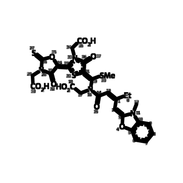 CC/C(C=C1Oc2ccccc2N1C)=C/C(=O)N(CC(=O)O)/C(SC)=c1\s/c(=C2/OC(=S)N(CC(=O)O)C2=O)n(CC(=O)O)c1=O